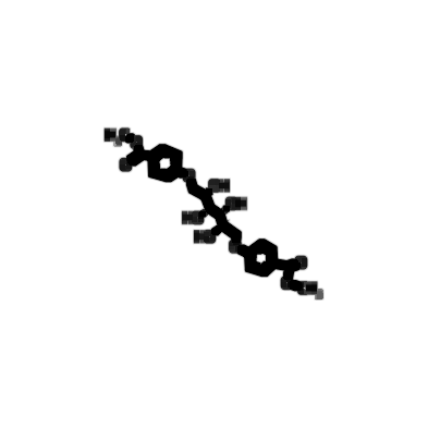 COC(=O)c1ccc(OC[C@@H](O)[C@@H](O)[C@H](O)[C@H](O)COc2ccc(C(=O)OC)cc2)cc1